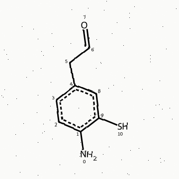 Nc1ccc(CC=O)cc1S